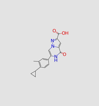 Cc1cc(-c2cn3nc(C(=O)O)cc3c(=O)[nH]2)ccc1C1CC1